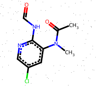 CC(=O)N(C)c1cc(Cl)cnc1NC=O